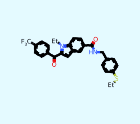 CCSc1ccc(CNC(=O)c2ccc3c(c2)cc(C(=O)c2ccc(C(F)(F)F)cc2)n3CC)cc1